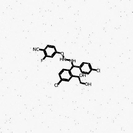 N#Cc1ccc(ONNC(c2ccc(Cl)cc2)c2ccc(Cl)cc2C(O)CO)cc1F